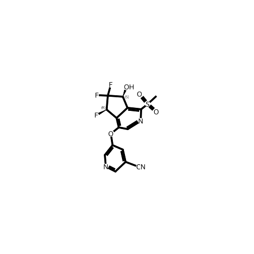 CS(=O)(=O)c1ncc(Oc2cncc(C#N)c2)c2c1[C@H](O)C(F)(F)[C@@H]2F